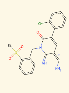 CCS(=O)(=O)c1ccccc1CN1C(=N)/C(=C\N)C=C(c2ccccc2Cl)C1=O